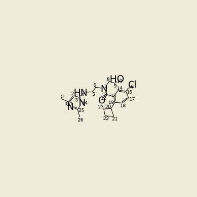 Cc1cc(NCCN(CCO)C(=O)c2cc(Cl)ccc2C2CCC2)nc(C)n1